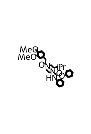 COc1ccc(CC(=O)N2CCN(C(=O)Nc3ccccc3Oc3ccccc3)C(C(C)C)C2)cc1OC